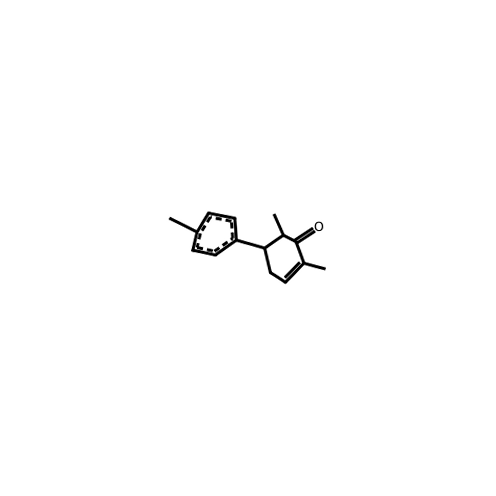 CC1=CCC(c2ccc(C)cc2)C(C)C1=O